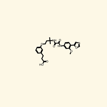 COc1cc(NC(=O)C(=O)NC(C)(C)CCOc2cccc(CCC(=O)O)c2)ccc1-c1cnco1